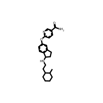 CC1CCCCC1CCNC1CCc2cc(Oc3ccc(C(N)=O)cn3)ccc21